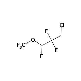 FC(OC(F)(F)F)C(F)(F)CCl